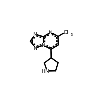 Cc1cc(C2CCNC2)n2ncnc2n1